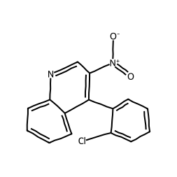 O=[N+]([O-])c1cnc2ccccc2c1-c1ccccc1Cl